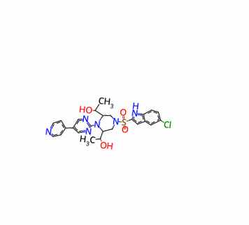 CC(O)C1CN(S(=O)(=O)c2cc3cc(Cl)ccc3[nH]2)CC(C(C)O)N1c1ncc(-c2ccncc2)cn1